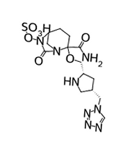 NC(=O)C1(OC[C@@H]2C[C@H](Cn3cnnn3)CN2)CCC2CN1C(=O)N2OS(=O)(=O)O